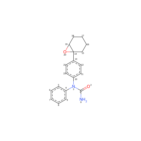 NC(=O)N(c1ccccc1)c1ccc(C23CCCCC2O3)cc1